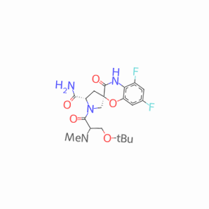 CNC(COC(C)(C)C)C(=O)N1C[C@@]2(C[C@H]1C(N)=O)Oc1cc(F)cc(F)c1NC2=O